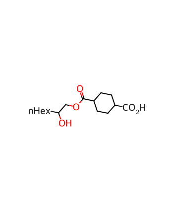 CCCCCCC(O)COC(=O)C1CCC(C(=O)O)CC1